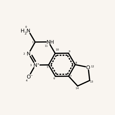 NC1N=[N+]([O-])c2cc3c(cc2N1)OCC3